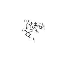 Cc1ccc(C(=O)N2CCC(C)(NC(=O)OC(C)(C)C)CC2)c(Cl)c1